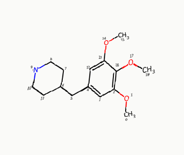 COc1cc(CC2CC[N]CC2)cc(OC)c1OC